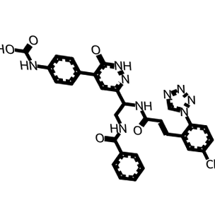 O=C(O)Nc1ccc(-c2cc(C(CNC(=O)c3ccccc3)NC(=O)C=Cc3cc(Cl)ccc3-n3cnnn3)n[nH]c2=O)cc1